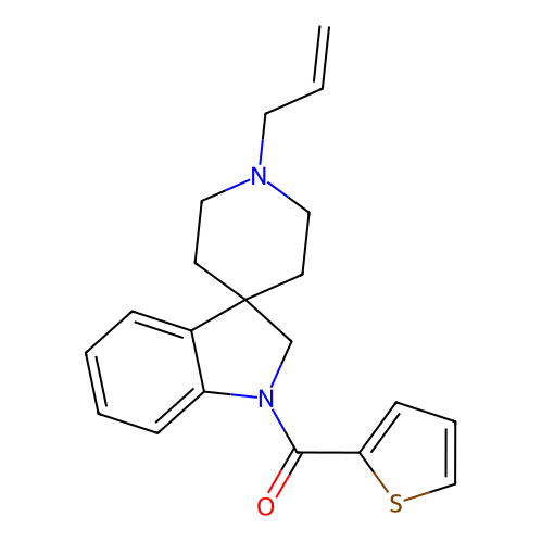 C=CCN1CCC2(CC1)CN(C(=O)c1cccs1)c1ccccc12